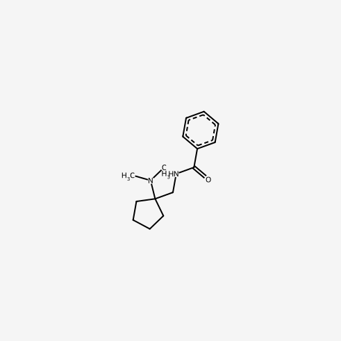 CN(C)C1(CNC(=O)c2ccccc2)CCCC1